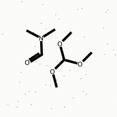 CN(C)C=O.COC(OC)OC